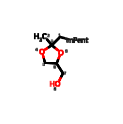 CCCCCCC1(C)OCC(CO)O1